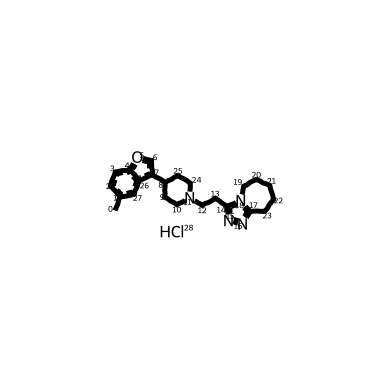 Cc1ccc2occ(C3CCN(CCc4nnc5n4CCCCC5)CC3)c2c1.Cl